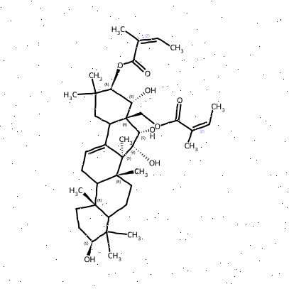 C/C=C(/C)C(=O)OC[C@@]12C(CC(C)(C)[C@@H](OC(=O)/C(C)=C\C)[C@@H]1O)C1=CCC3[C@@]4(C)CC[C@H](O)C(C)(C)C4CC[C@@]3(C)[C@]1(C)[C@@H](O)[C@H]2O